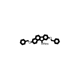 CCCCCCC1c2cc(OCc3ccccc3)ccc2-c2ccc3cc(OCc4ccccc4)ccc3c21